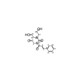 O=[C]CN(C(=O)C=Cc1ccccc1)C(=O)N(CCO)CCO